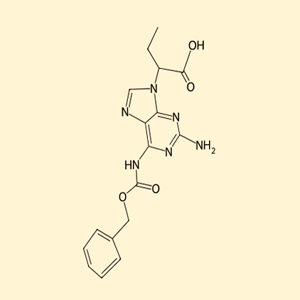 CCC(C(=O)O)n1cnc2c(NC(=O)OCc3ccccc3)nc(N)nc21